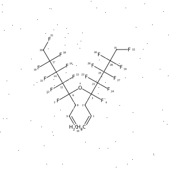 C=CCC(F)(OC(F)(CC=C)C(F)(F)C(F)(F)C(F)(F)CF)C(F)(F)C(F)(F)C(F)(F)CF